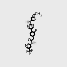 CCn1cc(Nc2ncc(-c3ccc(CC(=O)Nc4cncc(C(F)(F)F)c4)cc3F)cn2)cn1